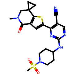 CN1CC2(CC2)c2sc(-c3nc(NC4CCN(S(C)(=O)=O)CC4)ncc3C#N)cc2C1=O